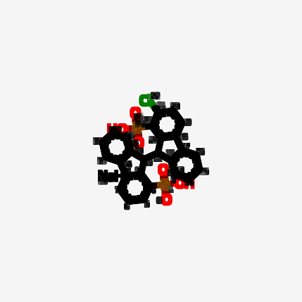 O=S(=O)(O)c1cccc2c1C(C1c3ccccc3-c3ccc(Cl)c(S(=O)(=O)O)c31)c1ccccc1-2.[NaH]